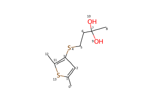 Cc1cc(SCCC(C)(O)O)c(C)s1